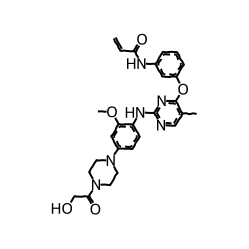 C=CC(=O)Nc1cccc(Oc2nc(Nc3ccc(N4CCN(C(=O)CO)CC4)cc3OC)ncc2C)c1